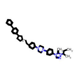 C=C1N(c2ccc(N3CCN(c4ccc(CC[C@@H]5CCC(c6ccc(-c7ccccc7)cc6)C5)cc4)CC3)cc2)C=NN1C(C)CC